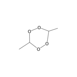 CC1OOC(C)OO1